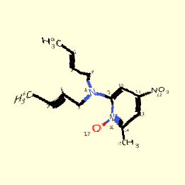 C/C=C/CN(C/C=C/C)c1cc([N+](=O)[O-])cc(C)[n+]1[O-]